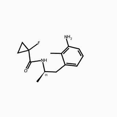 Cc1c(N)cccc1C[C@@H](C)NC(=O)C1(F)CC1